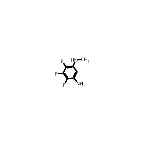 CNc1cc(N)c(F)c(F)c1F